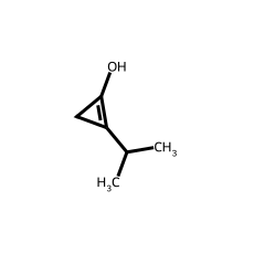 CC(C)C1=C(O)C1